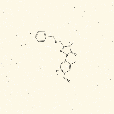 CCn1c(COCc2ccccc2)nn(-c2cc(I)c([C]=O)cc2F)c1=O